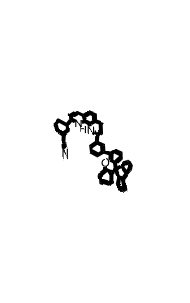 N#Cc1cccc(-c2ccc3ccc4c(c3n2)NC(c2cccc(-c3cccc5c3Oc3ccccc3C53c5ccccc5C5C=CC=CC53)c2)C=C4)c1